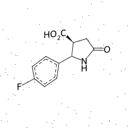 O=C1C[C@H](C(=O)O)C(c2ccc(F)cc2)N1